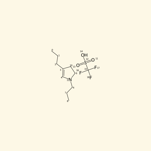 CCCC1=CN(CCC)CC1.O=S(=O)(O)C(F)(F)F